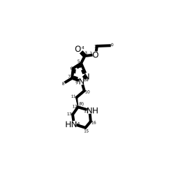 CCOC(=O)c1cc(C)n(CC[C@@H]2CNCCN2)n1